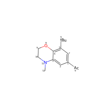 CC(=O)c1cc2c(c(C(C)(C)C)c1)OCCN2C